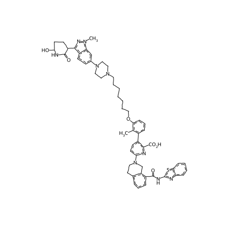 Cc1c(OCCCCCCCN2CCN(c3ccc4c(C5CCC(O)NC5=O)nn(C)c4c3)CC2)cccc1-c1ccc(N2CCc3cccc(C(=O)Nc4nc5ccccc5s4)c3C2)nc1C(=O)O